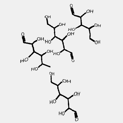 CC(O)C(O)C(O)C(O)C=O.O=CC(O)C(O)C(O)C(O)CO.O=CC(O)C(O)C(O)C(O)CO.O=CC(O)C(O)C(O)CO